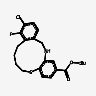 CC(C)(C)OC(=O)c1ccc2c(c1)NCc1ccc(Cl)c(F)c1CCCCS2